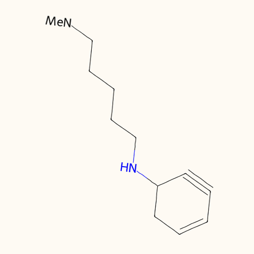 CNCCCCCNC1C#CC=CC1